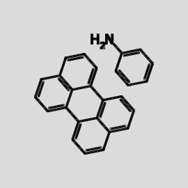 Nc1ccccc1.c1cc2cccc3c4cccc5cccc(c(c1)c23)c54